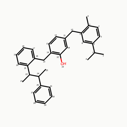 Cc1ccc(C(C)C)cc1Cc1ccc(Cc2ccccc2C(C)C(C)c2ccccc2)c(O)c1